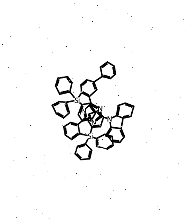 c1ccc(-c2ccc([Si](c3ccccc3)(c3ccccc3)c3ccccc3)c(-c3nc(-c4ccccc4[Si](c4ccccc4)(c4ccccc4)c4ccccc4)nc(-n4c5ccccc5c5ccccc54)n3)c2)cc1